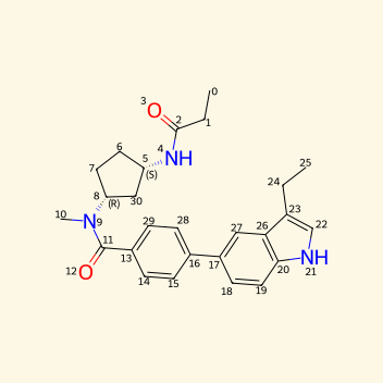 CCC(=O)N[C@H]1CC[C@@H](N(C)C(=O)c2ccc(-c3ccc4[nH]cc(CC)c4c3)cc2)C1